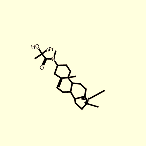 CCCC(C)(O)C(=O)N(C)C1CCC2(C)C(=CCC3C2CCC24CN(C)C(C)C2CCC34)C1